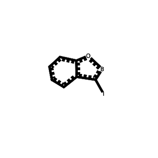 Ic1boc2ccccc12